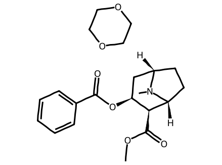 C1COCCO1.COC(=O)[C@H]1[C@@H](OC(=O)c2ccccc2)C[C@@H]2CC[C@H]1N2C